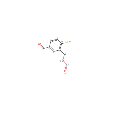 O=COCc1cc(C=O)ccc1F